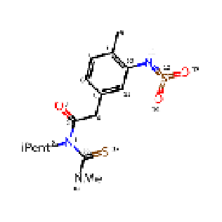 CCCC(C)N(C(=O)Cc1ccc(C)c(N=S(=O)=O)c1)C(=S)NC